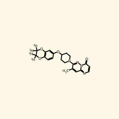 [2H]C1([2H])Oc2ccc(OC3CCN(c4nn5c(=O)ccnc5cc4C)CC3)cc2OC1([2H])[2H]